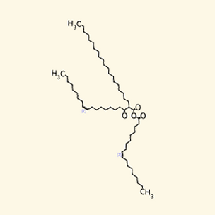 CCCCCCCC/C=C\CCCCCCCC(=O)OC(=O)C(CCCCCCCCCCCCCCCCCCCC)C(=O)CCCCCCC/C=C\CCCCCCCC